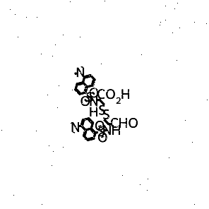 CN(C)c1cccc2c(S(=O)(=O)NC(C=O)CSSC[C@@H](NS(=O)(=O)c3cccc4c(N(C)C)cccc34)C(=O)O)cccc12